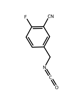 N#Cc1cc(CN=C=O)ccc1F